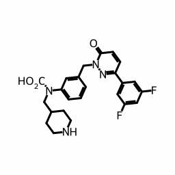 O=C(O)N(CC1CCNCC1)c1cccc(Cn2nc(-c3cc(F)cc(F)c3)ccc2=O)c1